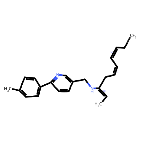 C/C=C(/C/C=C\C=C/CC(F)(F)F)NCc1ccc(-c2ccc(C)cc2)nc1